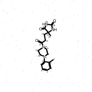 Cc1ccccc1N1CCN(C(=O)CCC2(C)NC(=O)NC2=O)CC1